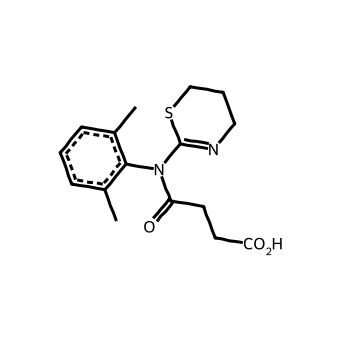 Cc1cccc(C)c1N(C(=O)CCC(=O)O)C1=NCCCS1